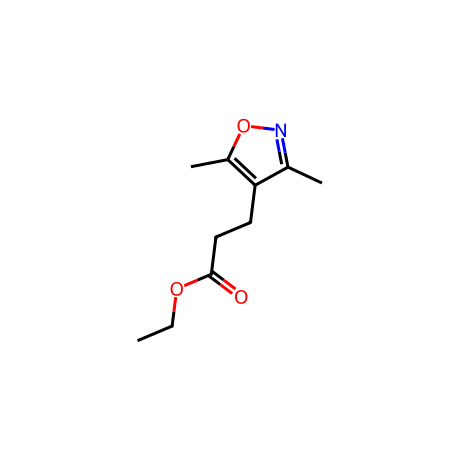 CCOC(=O)CCc1c(C)noc1C